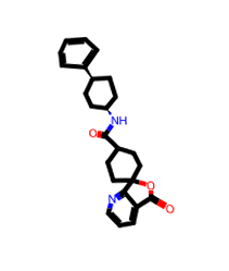 O=C1OC2(CCC(C(=O)N[C@H]3CC[C@H](c4ccccc4)CC3)CC2)c2ncccc21